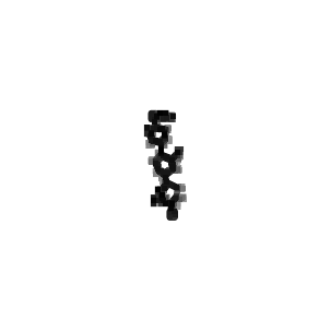 COc1ccc(-c2ccc(C3=NNC(=O)CC3)cc2F)cn1